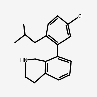 CC(C)Cc1ccc(Cl)cc1-c1cccc2c1CNCC2